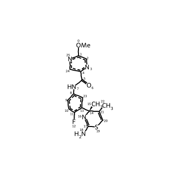 COc1cnc(C(=O)Nc2ccc(F)c([C@@]3(C)N=C(N)SC=C3C)c2)cn1